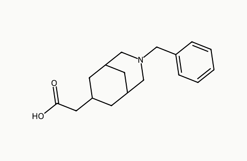 O=C(O)CC1CC2CC(C1)CN(Cc1ccccc1)C2